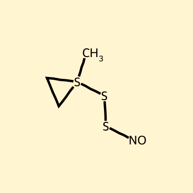 CS1(SSN=O)CC1